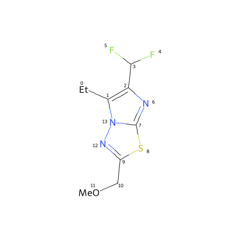 CCc1c(C(F)F)nc2sc(COC)nn12